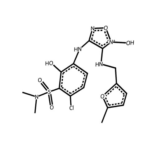 Cc1ccc(CNc2c(Nc3ccc(Cl)c(S(=O)(=O)N(C)C)c3O)no[n+]2O)o1